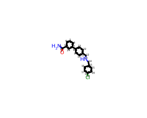 NC(=O)c1cccc(-c2ccc(CNCc3ccc(Cl)cc3)cc2)c1